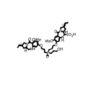 C/C=C1\C[C@H]2CNc3cc(OCCCP(=O)(CCCO)CCCOc4cc5c(cc4OC)C(=O)N4C/C(=C/C)C[C@H]4C(S(=O)(=O)O)N5)c(OC)cc3C(=O)N2C1